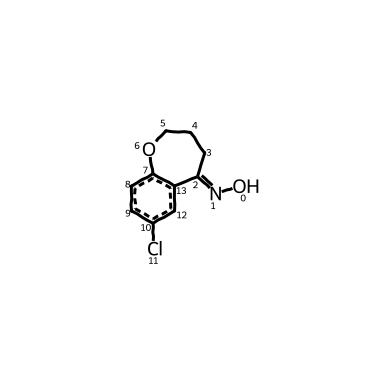 ON=C1CCCOc2ccc(Cl)cc21